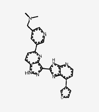 CN(C)Cc1cncc(-c2ccc3[nH]nc(-c4nc5c(-c6ccoc6)ccnc5[nH]4)c3n2)c1